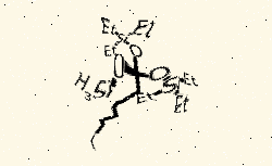 CC[Si](CC)(CC)OC(CCCCI)(O[SiH3])O[Si](CC)(CC)CC